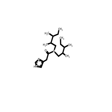 CCC(C)C(C)CN(CC(C)C(C)CC)C(=O)Cc1c[nH]cn1